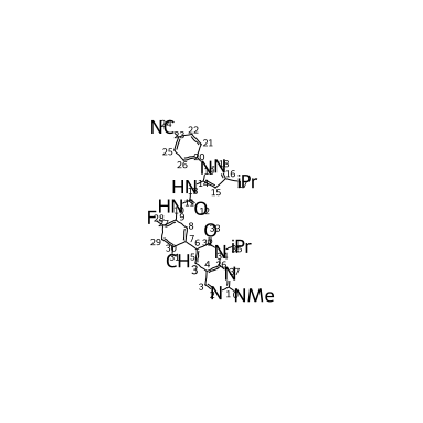 CNc1ncc2cc(-c3cc(NC(=O)Nc4cc(C(C)C)nn4-c4ccc(C#N)cc4)c(F)cc3C)c(=O)n(C(C)C)c2n1